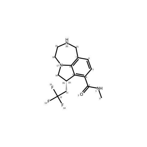 CNC(=O)c1ccc2c3c1[C@H](CC(F)(F)F)CN3CCNC2